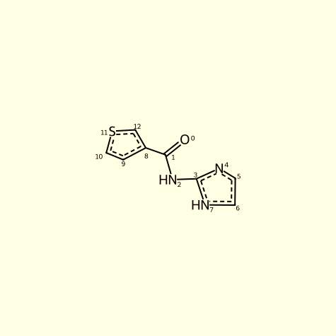 O=C(Nc1ncc[nH]1)c1ccsc1